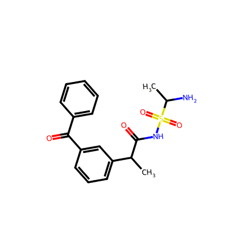 CC(C(=O)NS(=O)(=O)C(C)N)c1cccc(C(=O)c2ccccc2)c1